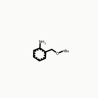 CCCCOCc1ccccc1N